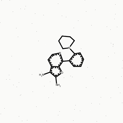 Nc1oc2c(-c3ccccc3N3CCCCC3)nccc2c1N